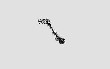 O=C(O)CCCCCCCCCCCNC(=O)N1CCn2c(nnc2C(F)(F)F)C1